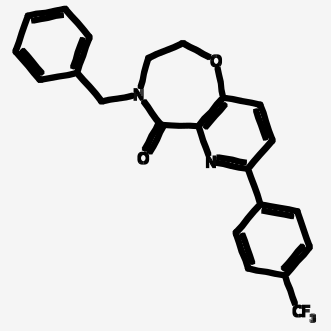 O=C1c2nc(-c3ccc(C(F)(F)F)cc3)ccc2OCCN1Cc1ccccc1